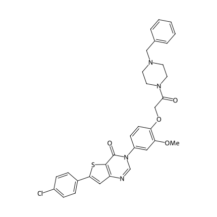 COc1cc(-n2cnc3cc(-c4ccc(Cl)cc4)sc3c2=O)ccc1OCC(=O)N1CCN(Cc2ccccc2)CC1